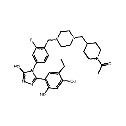 CCc1cc(-c2nnc(O)n2-c2ccc(CN3CCN(CC4CCN(C(C)=O)CC4)CC3)c(F)c2)c(O)cc1O